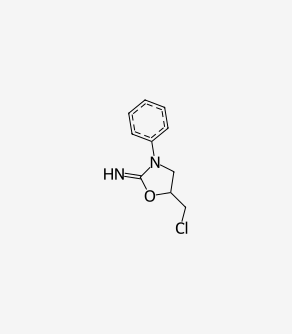 N=C1OC(CCl)CN1c1ccccc1